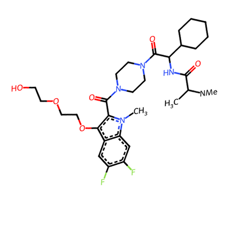 CNC(C)C(=O)NC(C(=O)N1CCN(C(=O)c2c(OCCOCCO)c3cc(F)c(F)cc3n2C)CC1)C1CCCCC1